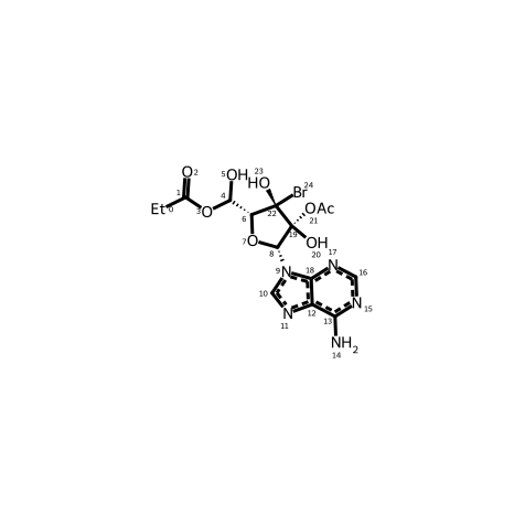 CCC(=O)OC(O)[C@H]1O[C@@H](n2cnc3c(N)ncnc32)[C@@](O)(OC(C)=O)[C@@]1(O)Br